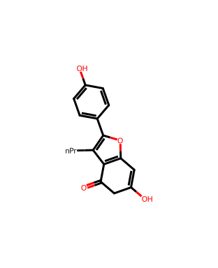 CCCc1c(-c2ccc(O)cc2)oc2c1C(=O)CC(O)=C2